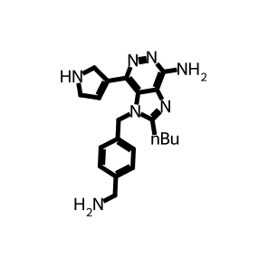 CCCCc1nc2c(N)nnc(C3=CCNC3)c2n1Cc1ccc(CN)cc1